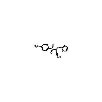 C#CN(Cc1ccco1)S(=O)(=O)c1ccc(C)cc1